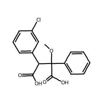 COC(C(=O)O)(c1ccccc1)C(C(=O)O)c1cccc(Cl)c1